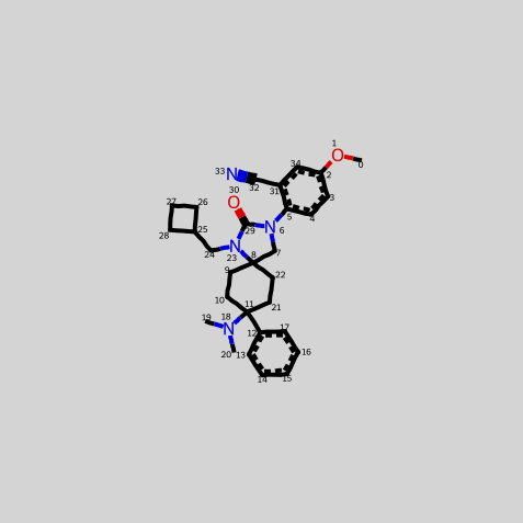 COc1ccc(N2CC3(CCC(c4ccccc4)(N(C)C)CC3)N(CC3CCC3)C2=O)c(C#N)c1